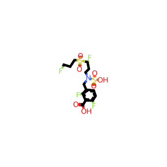 O=C(O)c1c(F)ccc(CN(CCC(F)S(=O)(=O)CCCF)S(=O)(=O)O)c1F